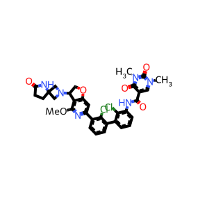 COc1nc(-c2cccc(-c3cccc(NC(=O)c4cn(C)c(=O)n(C)c4=O)c3Cl)c2Cl)cc2c1C(N1CC3(CCC(=O)N3)C1)CO2